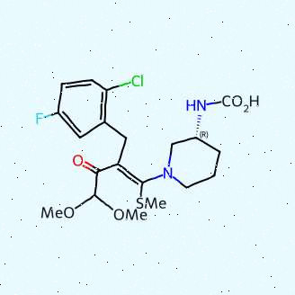 COC(OC)C(=O)C(Cc1cc(F)ccc1Cl)=C(SC)N1CCC[C@@H](NC(=O)O)C1